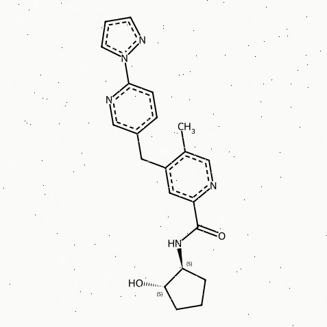 Cc1cnc(C(=O)N[C@H]2CCC[C@@H]2O)cc1Cc1ccc(-n2cccn2)nc1